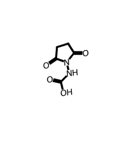 O=C(O)NN1C(=O)CCC1=O